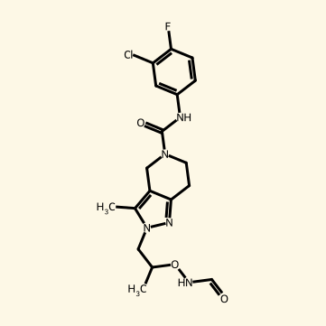 Cc1c2c(nn1CC(C)ONC=O)CCN(C(=O)Nc1ccc(F)c(Cl)c1)C2